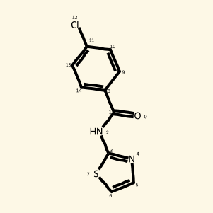 O=C(Nc1nccs1)c1ccc(Cl)cc1